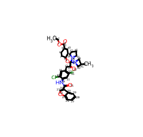 CCOC(=O)C1CCC(OC(C(=O)Cc2cc(Cl)c(NC(=O)c3coc4ccccc34)cc2F)(N2CCCC2)N2CC(C)C2)CC1